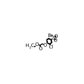 CCOC(=O)COc1ccc(S(=O)(=O)Br)cc1Cl